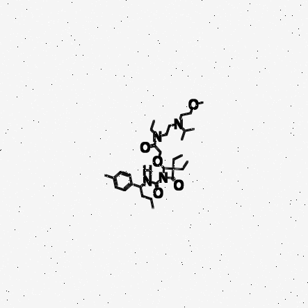 CCCC(NC(=O)N1C(=O)C(CC)(CC)C1OCC(=O)N(CC)CCN(CCOC)C(C)C)c1ccc(C)cc1